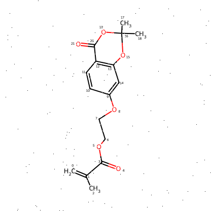 C=C(C)C(=O)OCCOc1ccc2c(c1)OC(C)(C)OC2=O